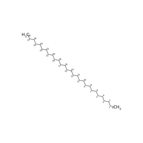 CCCCCCCCCCCCCC[C]CCCCCCCCCCCCCC